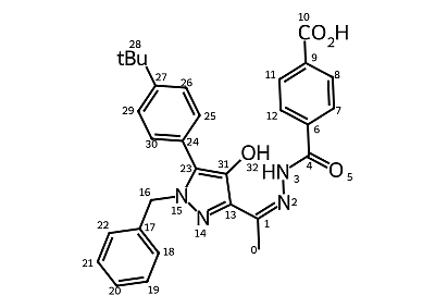 C/C(=N/NC(=O)c1ccc(C(=O)O)cc1)c1nn(Cc2ccccc2)c(-c2ccc(C(C)(C)C)cc2)c1O